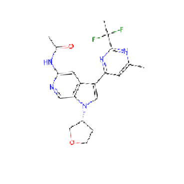 CC(=O)Nc1cc2c(-c3cc(C)nc(C(C)(F)F)n3)cn([C@@H]3CCOC3)c2cn1